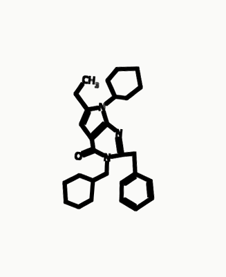 CCc1cc2c(=O)n(CC3CCCCC3)c(Cc3ccccc3)nc2n1C1CCCCC1